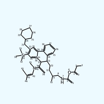 C=C(CC)OC(=C)NCC(C)CCC1c2ccccc2-c2cc(CC3CCCCC3)c([Si](C)(C)C)c[n+]2C1C(=C)N(C)C=C(C)C